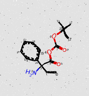 CCC(N)(C(=O)OC(=O)OC(C)(C)C)c1ccccc1